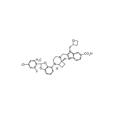 C[C@@]1(c2ccc(Cl)cc2F)Oc2cccc(N3CCN(Cc4nc5ccc(C(=O)O)cc5n4C[C@@H]4CCO4)[C@@H]4CC[C@H]43)c2O1